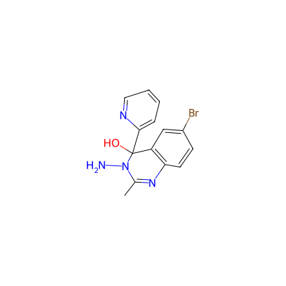 CC1=Nc2ccc(Br)cc2C(O)(c2ccccn2)N1N